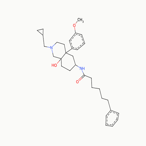 COc1cccc(C23CCN(CC4CC4)CC2(O)CCC(NC(=O)CCCCCc2ccccc2)C3)c1